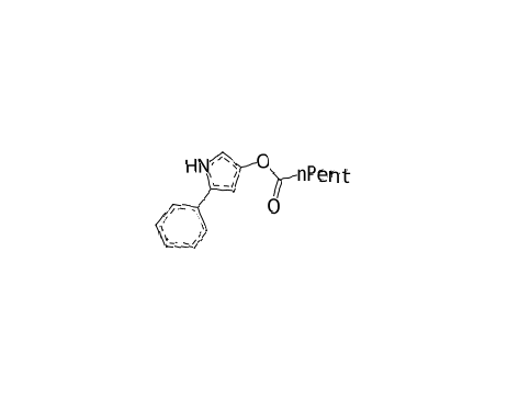 CCCCCC(=O)Oc1c[nH]c(-c2ccccc2)c1